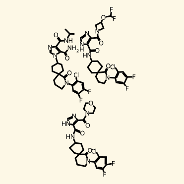 CC(C)NC(=O)c1ncn(C2CCC3(CCCN(c4cc(F)c(F)cc4Cl)C3=O)CC2)c1C(N)=O.O=C(NC1CCC2(CCCN(c3cc(F)c(F)cc3Cl)C2=O)CC1)c1[nH]cnc1C(=O)N1CC(OC(F)F)C1.O=C(NC1CCC2(CCCN(c3cc(F)c(F)cc3Cl)C2=O)CC1)c1[nH]cnc1C(=O)N1CCOCC1